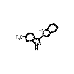 FC(F)(F)c1ccc2c(-c3cc4ccccc4[nH]3)n[nH]c2c1